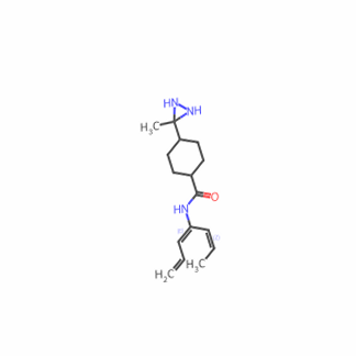 C=C/C=C(\C=C/C)NC(=O)C1CCC(C2(C)NN2)CC1